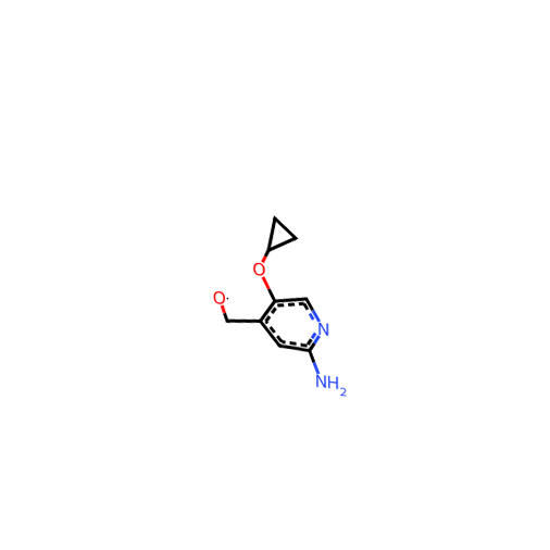 Nc1cc(C[O])c(OC2CC2)cn1